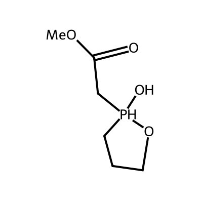 COC(=O)C[PH]1(O)CCCO1